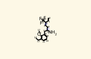 C=C/C(=C\C=C(\N)Cc1cccc(CC)c1OC)C(F)(F)F